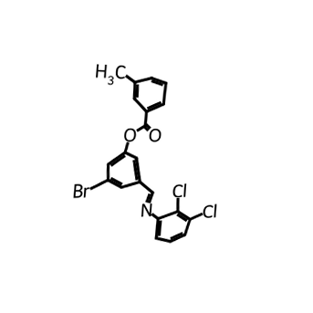 Cc1cccc(C(=O)Oc2cc(Br)cc(C=Nc3cccc(Cl)c3Cl)c2)c1